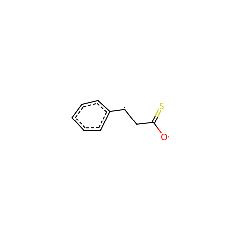 [O]C(=S)C[CH]c1ccccc1